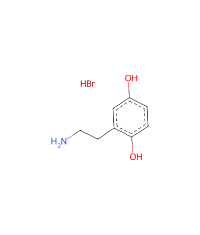 Br.NCCc1cc(O)ccc1O